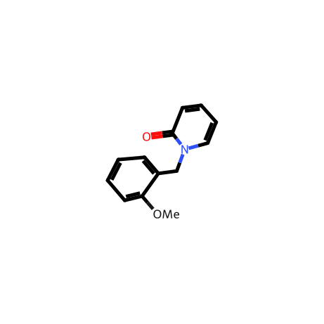 COc1ccccc1Cn1ccccc1=O